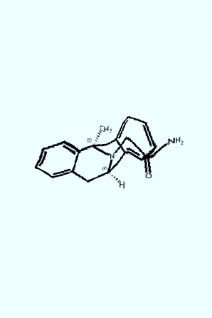 C[C@]12c3ccccc3C[C@H](c3ccccc31)N2CC(N)=O